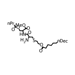 CCCCCCCCCCCCCCCC(=O)OCCSCC(N)C(=O)NC(COC(=O)CCC)C(=O)OC